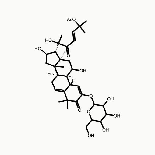 CC(=O)OC(C)(C)/C=C/C(=O)C(C)(O)[C@H]1[C@H](O)C[C@@]2(C)[C@@H]3CC=C4[C@@H](C=C(OC5OC(CO)C(O)C(O)C5O)C(=O)C4(C)C)[C@]3(C)C(O)C[C@]12C